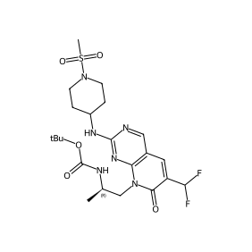 C[C@H](Cn1c(=O)c(C(F)F)cc2cnc(NC3CCN(S(C)(=O)=O)CC3)nc21)NC(=O)OC(C)(C)C